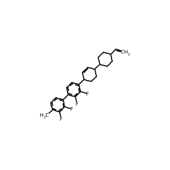 C=CC1CCC(C2C=CC(c3ccc(-c4ccc(C)c(F)c4F)c(F)c3F)CC2)CC1